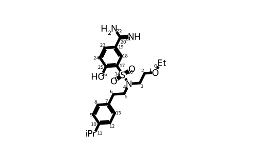 CCOCCN(CCc1ccc(C(C)C)cc1)S(=O)(=O)c1cc(C(=N)N)ccc1O